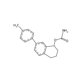 Cc1ccc(-c2ccc3c(c2)C(OC(N)=O)CCC3)cc1